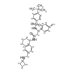 CC(C)(C)c1ccc(S(=O)(=O)NC(CC(=O)NC2CCCc3cc(CNC4CCC4)ccc32)c2ccc(F)cc2)cc1